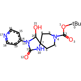 CC(C)(C)OC(=O)N1CCC2(CC1)NC(=O)N(c1ccncc1)C2O